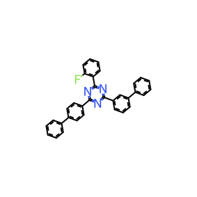 Fc1ccccc1-c1nc(-c2ccc(-c3ccccc3)cc2)nc(-c2cccc(-c3ccccc3)c2)n1